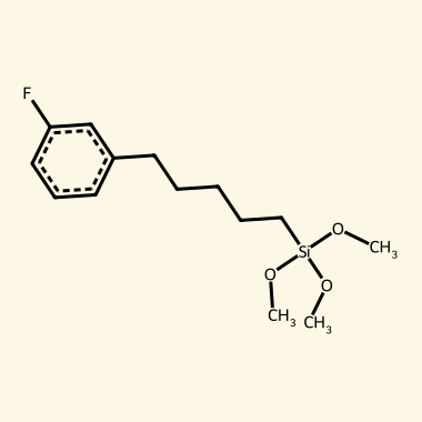 CO[Si](CCCCCc1cccc(F)c1)(OC)OC